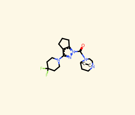 O=C(N1CCN2CCC1CC2)n1nc(N2CCC(F)(F)CC2)c2c1CCC2